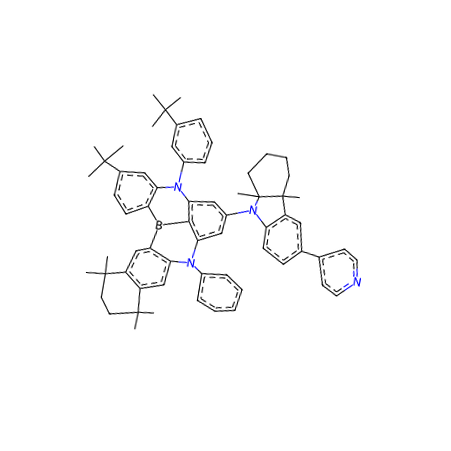 CC(C)(C)c1cccc(N2c3cc(C(C)(C)C)ccc3B3c4cc5c(cc4N(c4ccccc4)c4cc(N6c7ccc(-c8ccncc8)cc7C7(C)CCCCC67C)cc2c43)C(C)(C)CCC5(C)C)c1